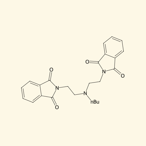 CCCCN(CCN1C(=O)c2ccccc2C1=O)CCN1C(=O)c2ccccc2C1=O